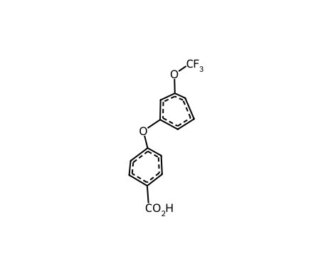 O=C(O)c1ccc(Oc2cccc(OC(F)(F)F)c2)cc1